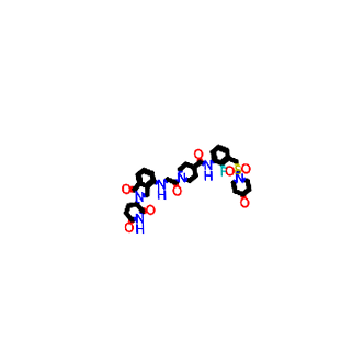 O=C1CCN(S(=O)(=O)Cc2cccc(NC(=O)C3CCN(C(=O)CNc4cccc5c4CN(C4CCC(=O)NC4=O)C5=O)CC3)c2F)CC1